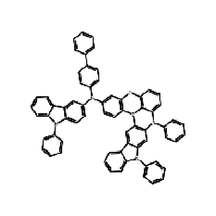 c1ccc(-c2ccc(N(c3ccc4c(c3)Oc3cccc5c3B4c3cc4c6ccccc6n(-c6ccccc6)c4cc3N5c3ccccc3)c3ccc4c(c3)c3ccccc3n4-c3ccccc3)cc2)cc1